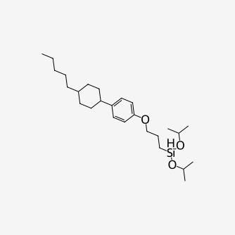 CCCCCC1CCC(c2ccc(OCCC[SiH](OC(C)C)OC(C)C)cc2)CC1